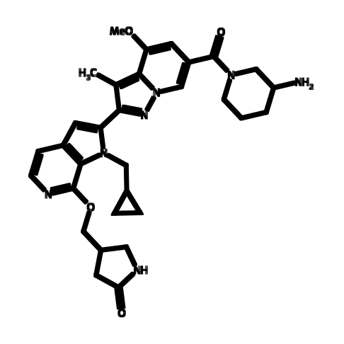 COc1cc(C(=O)N2CCCC(N)C2)cn2nc(-c3cc4ccnc(OCC5CNC(=O)C5)c4n3CC3CC3)c(C)c12